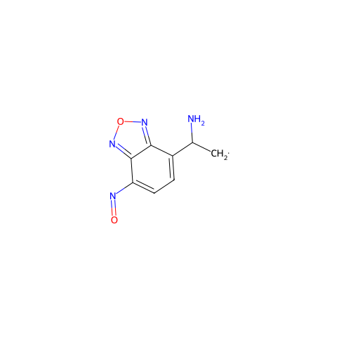 [CH2]C(N)c1ccc(N=O)c2nonc12